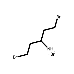 Br.NC(CCBr)CCBr